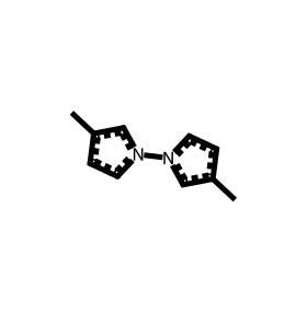 Cc1ccn(-n2ccc(C)c2)c1